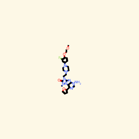 COCCOc1ccc(N2CCN(CCN3C(=O)N(C)N4C5=C(c6ccco6)N=CN(N)C5=NC34)CC2)cc1F